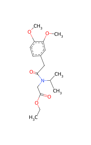 CCOC(=O)CN(C(=O)Cc1ccc(OC)c(OC)c1)C(C)C